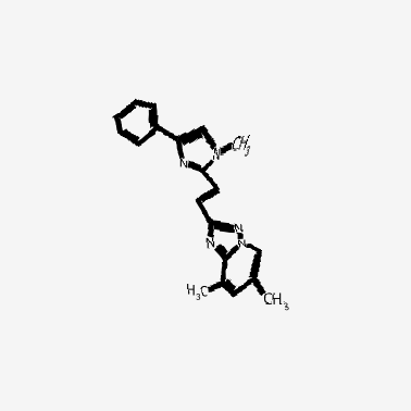 Cc1cc(C)c2nc(/C=C/c3nc(-c4ccccc4)cn3C)nn2c1